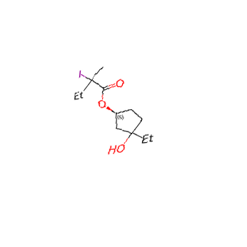 CCC1(O)CC[C@H](OC(=O)C(C)(I)CC)C1